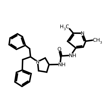 Cc1cc(NC(=O)NC2CCN(C(Cc3ccccc3)Cc3ccccc3)C2)cc(C)n1